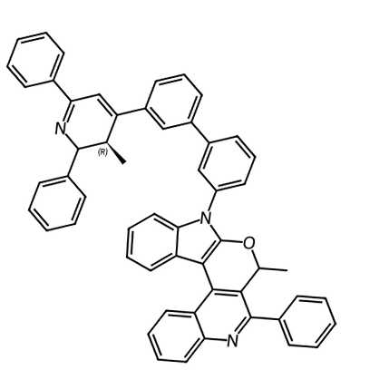 CC1Oc2c(c3ccccc3n2-c2cccc(-c3cccc(C4=CC(c5ccccc5)=NC(c5ccccc5)[C@@H]4C)c3)c2)-c2c1c(-c1ccccc1)nc1ccccc21